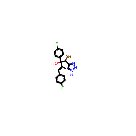 C/C(=C\c1ccc(F)cc1)C(O)(c1ccc(F)cc1)C(S)c1c[nH]nn1